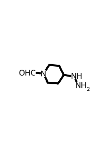 NNC1CCN(C=O)CC1